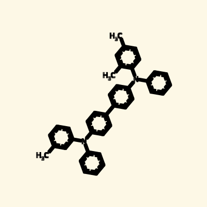 Cc1cccc(N(c2ccccc2)c2ccc(-c3ccc(N(c4ccccc4)c4ccc(C)cc4C)cc3)cc2)c1